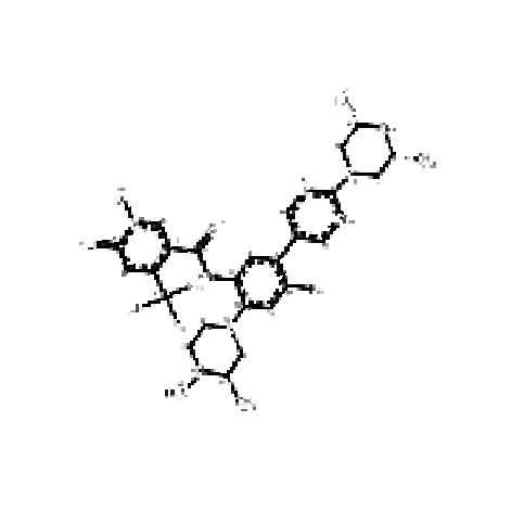 C[C@@H]1CN(c2ncc(-c3cc(NC(=O)c4cn(C)c(=O)cc4C(F)(F)F)c(N4CCN(C)[C@H](C)C4)cc3F)cn2)C[C@H](C)O1